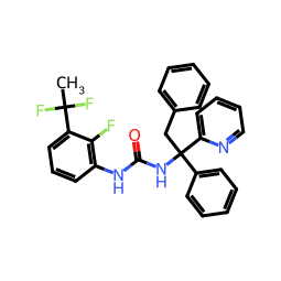 CC(F)(F)c1cccc(NC(=O)NC(Cc2ccccc2)(c2ccccc2)c2ccccn2)c1F